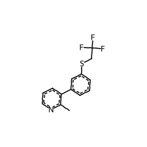 Cc1ncccc1-c1cccc(SCC(F)(F)F)c1